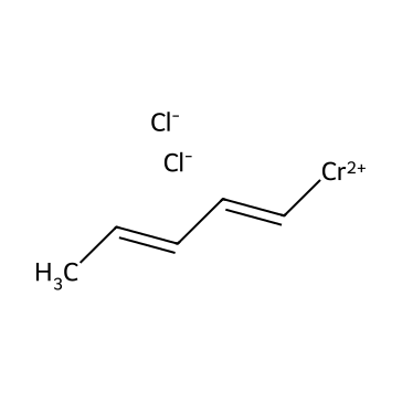 CC=CC=[CH][Cr+2].[Cl-].[Cl-]